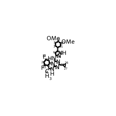 COc1ccc(-c2cc(Nc3nc(NC(C)c4ccc(F)cc4F)nc(C4CC4)n3)n[nH]2)cc1OC